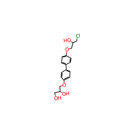 OCC(O)COc1ccc(-c2ccc(OCC(O)CCl)cc2)cc1